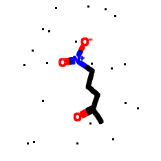 CC(=O)CCC[N+](=O)[O-]